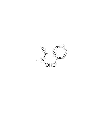 C=C(c1ccccc1C=O)N(C)C